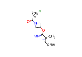 CN/C=C(\C)C(=N)OC1CN(C(=O)[C@@H]2C[C@@H]2F)C1